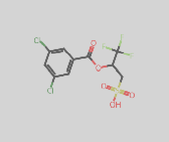 O=C(OC(CS(=O)(=O)O)C(F)(F)F)c1cc(Cl)cc(Cl)c1